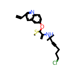 C#Cc1cnc2ccc(OC(SC)C(=C)NC(C)(C)C#CCCCCl)cc2c1